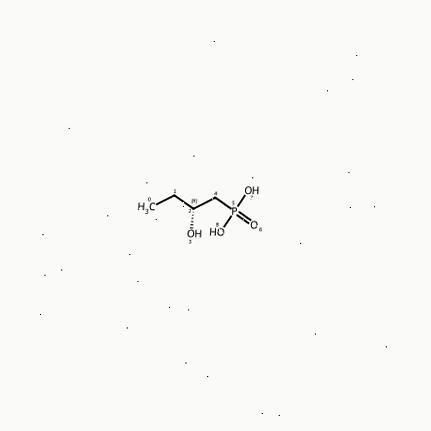 CC[C@@H](O)CP(=O)(O)O